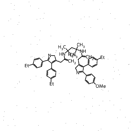 C=C(CC1=C(c2ccc(CC)cc2)C(c2ccc(CC)cc2)=NC1)NC(C)(C)CC(C)(C)NC(=C)CC1=C(c2ccc(CC)cc2)C(c2ccc(OC)cc2)=NC1